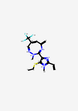 C=Cc1nc(/C2=N/C(=C)/C=C(C(F)(F)F)\C=N/N2C)c(SCC)n1C